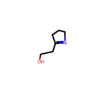 OCCC1=NCCC1